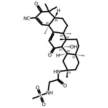 CC1(C)C(=O)C(C#N)=C[C@]2(C)C3=CC(=O)[C@]4(O)[C@@H]5C[C@@](C)(NC(=O)CNS(C)(=O)=O)CC[C@]5(C)CC[C@@]4(C)[C@]3(C)CC[C@@H]12